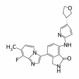 Cc1ccn2c(-c3ccc(Nc4ccc([C@@H]5CCOC5)cn4)c4c3CNC4=O)cnc2c1F